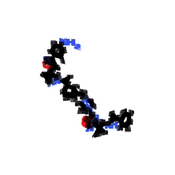 N[C@H]1CC[C@H](c2cc(C3(CN[C@@H]4C[C@H]4c4cccc(CN5CCN(c6nc(C7(CN[C@@H]8C[C@H]8c8ccccc8)CC7)no6)CC5)c4)CC3)on2)CC1